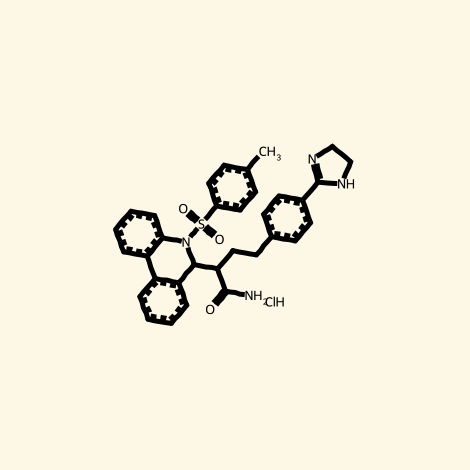 Cc1ccc(S(=O)(=O)N2c3ccccc3-c3ccccc3C2C(CCc2ccc(C3=NCCN3)cc2)C(N)=O)cc1.Cl